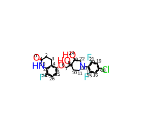 O=C1CCc2c(OC[C@@]3(O)CCN(c4c(F)cc(Cl)cc4F)C[C@H]3O)ccc(F)c2N1